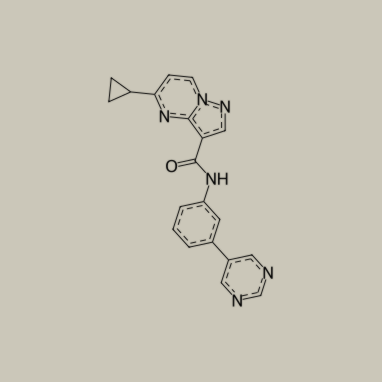 O=C(Nc1cccc(-c2cncnc2)c1)c1cnn2ccc(C3CC3)nc12